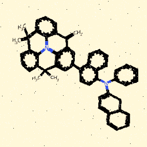 C=C1c2cccc3c2N2c4c1cc(-c1ccc(N(C5=CC=C6C=CC=CC6C5)c5ccccc5)c5ccccc15)cc4C(C)(C)c1cccc(c12)C3(C)C